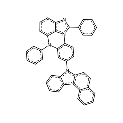 c1ccc(-c2nc3cccc4c3n2-c2ccc(-n3c5ccccc5c5c6ccccc6ccc53)cc2N4c2ccccc2)cc1